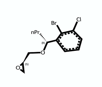 CCC[C@@H](OC[C@H]1CO1)c1cccc(Cl)c1Br